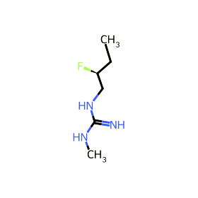 CC[C@H](F)CNC(=N)NC